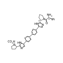 CC(C)[C@H](N)C(=O)N1CCC[C@H]1c1ncc(-c2ccc(-c3ccc(-c4cnc(C5CCCN5C(=O)O)[nH]4)cc3)cc2)[nH]1